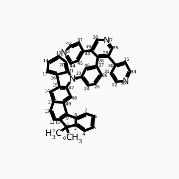 CC1(C)c2ccccc2-c2c1ccc1cc3c4ccccc4n(-c4cccc(-c5c(-c6ccncc6)cncc5-c5ccncc5)c4)c3cc21